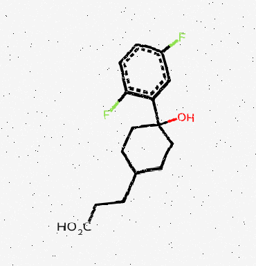 O=C(O)CCC1CCC(O)(c2cc(F)ccc2F)CC1